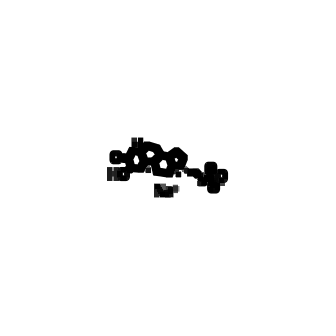 C[C@]12CCC3C(CC[C@@H]4CC(=O)C(O)C[C@]34C)C1CC[C@@H]2CCSS(=O)(=O)[O-].[Na+]